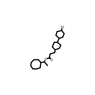 CCC1CCC(C2CCC(CCC(=O)OC(C)C3CCCCCCC3)CC2)CC1